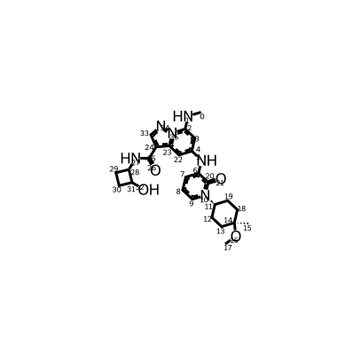 CNc1cc(Nc2cccn([C@H]3CC[C@](C)(OC)CC3)c2=O)cc2c(C(=O)NC3CCC3O)cnn12